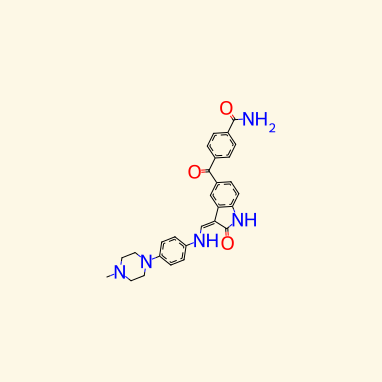 CN1CCN(c2ccc(NC=C3C(=O)Nc4ccc(C(=O)c5ccc(C(N)=O)cc5)cc43)cc2)CC1